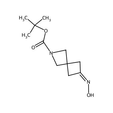 CC(C)(C)OC(=O)N1CC2(CC(=NO)C2)C1